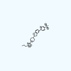 CCCc1noc(N2CCC(C3Cc4cc(-c5ccc(S(C)(=O)=O)cn5)ccc4O3)CC2)n1